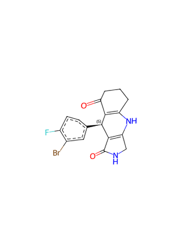 O=C1CCCC2=C1[C@H](c1ccc(F)c(Br)c1)C1=C(CNC1=O)N2